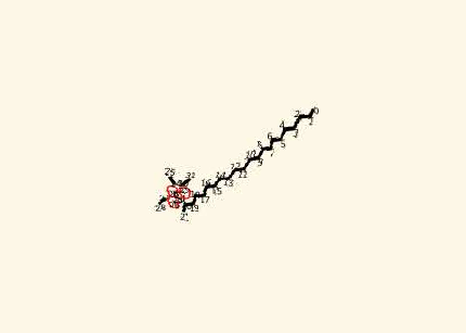 CCCCCCCCCCCCCCCCCCCCC(C)[Si](OCC)(OCC)OCC